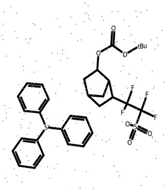 CC(C)(C)OC(=O)OC1CC2CC1C(C(F)(F)C(F)(F)S(=O)(=O)[O-])C2.c1ccc([S+](c2ccccc2)c2ccccc2)cc1